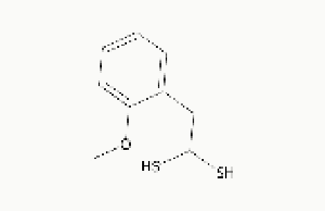 COc1ccccc1CC(S)S